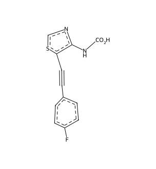 O=C(O)Nc1ncsc1C#Cc1ccc(F)cc1